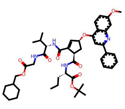 CCC[C@H](NC(=O)[C@@H]1C[C@H](Oc2cc(-c3ccccc3)nc3cc(OC)ccc23)C=C1C(=O)N[C@H](C(=O)NCC(=O)OCC1CCCCC1)C(C)C)C(=O)OC(C)(C)C